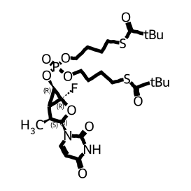 C[C@H]1C2[C@@H](OP(=O)(OCCCCSC(=O)C(C)(C)C)OCCCCSC(=O)C(C)(C)C)[C@@]2(F)O[C@H]1n1ccc(=O)[nH]c1=O